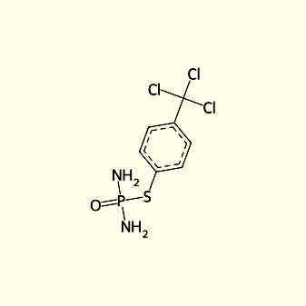 NP(N)(=O)Sc1ccc(C(Cl)(Cl)Cl)cc1